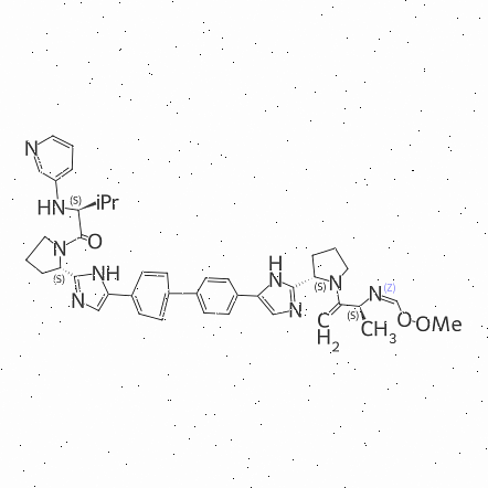 C=C([C@H](C)/N=C\OOC)N1CCC[C@H]1c1ncc(-c2ccc(-c3ccc(-c4cnc([C@@H]5CCCN5C(=O)[C@@H](Nc5cccnc5)C(C)C)[nH]4)cc3)cc2)[nH]1